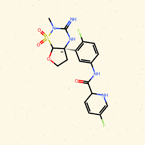 CN1C(=N)N[C@@]2(c3cc(NC(=O)C4C=CC(F)=CN4)ccc3F)CCOC2S1(=O)=O